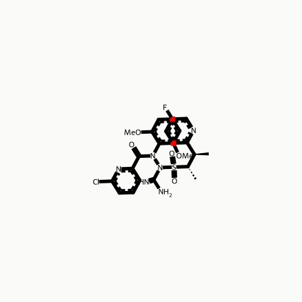 COc1cccc(OC)c1N(C(=O)c1cccc(Cl)n1)N(C(=N)N)S(=O)(=O)[C@@H](C)[C@H](C)c1ncc(F)cn1